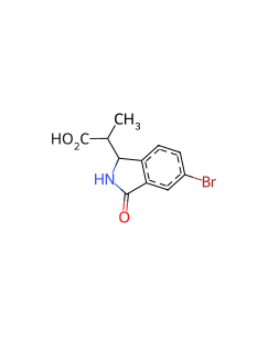 CC(C(=O)O)C1NC(=O)c2cc(Br)ccc21